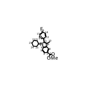 COC(=O)c1ccc2c(c1)c(C)c(-c1ccc(F)cn1)n2C1CCCCC1